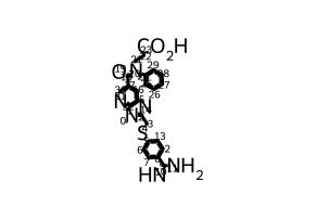 Cn1c(CSc2ccc(C(=N)N)cc2)nc2cc(C(=O)N(CCC(=O)O)c3ccccc3)cnc21